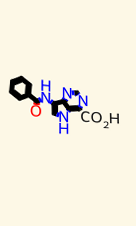 O=C(Nc1c[nH]c2c(C(=O)O)ncnc12)c1ccccc1